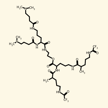 CC(CCCNC(=O)C(F)(F)F)C(=O)NCCCC(NC(=O)C(C)CCCNC(=O)C(F)(F)F)C(=O)OCCNC(=O)C(CCCNC(=O)CCCN(C)C)NC(=O)CCCN(C)C